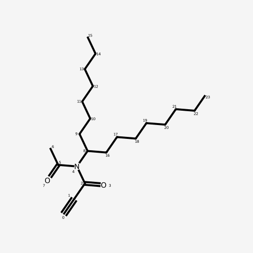 C#CC(=O)N(C(C)=O)C(CCCCCCC)CCCCCCCC